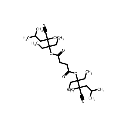 CCC(CC)(OC(=O)CCC(=O)OC(CC)(CC)C(C)(C#N)CC(C)C)C(C)(C#N)CC(C)C